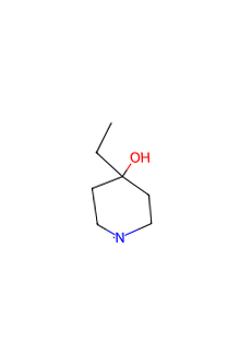 CCC1(O)CC[N]CC1